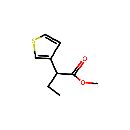 CCC(C(=O)OC)c1ccsc1